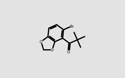 CC(C)(C)C(=O)c1c(Br)ccc2c1OCO2